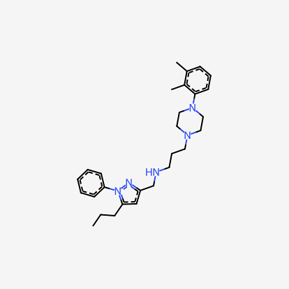 CCCc1cc(CNCCCN2CCN(c3cccc(C)c3C)CC2)nn1-c1ccccc1